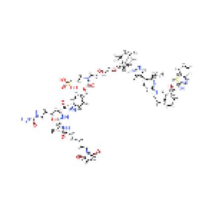 Cc1c(-c2ccc(N3CCc4cccc(C(=O)Nc5nc6ccccc6s5)c4C3)nc2C(=O)O)cnn1CC12CC3(C)CC(C)(C1)CC(OCCOCCN(CCCP(=O)(O)O)C(=O)OCc1ccc(NC(=O)[C@H](CCCCNC(N)=O)NC(=O)[C@@H](NC(=O)CCCCCN4C(=O)C=CC4=O)C(C)C)cc1)(C3)C2